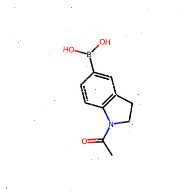 CC(=O)N1CCc2cc(B(O)O)ccc21